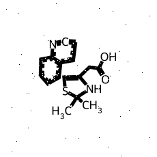 CC1(C)NC(CC(=O)O)=CS1.c1ccc2ncccc2c1